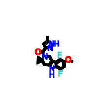 COc1cc(F)c2[nH]c3c(c2c1F)CN(C(=O)c1cc(C)[nH]n1)C1(CC1)C3